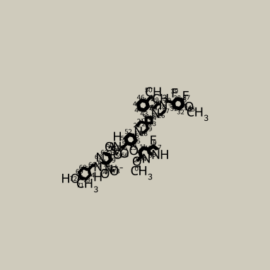 CCOc1nc2[nH]cc(F)c2cc1Oc1cc(N2CCC3(CC2)CC(N2CCN(Cc4ccc(OC)c(F)c4F)C[C@H]2c2ccccc2C(C)C)C3)ccc1C(=O)NS(=O)(=O)c1cnc(NCC2CCC(C)(O)CC2)c([N+](=O)[O-])c1